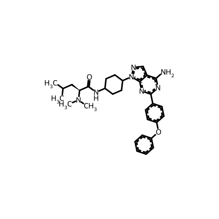 CC(C)C[C@@H](C(=O)NC1CCC(n2ncc3c(N)nc(-c4ccc(Oc5ccccc5)cc4)nc32)CC1)N(C)C